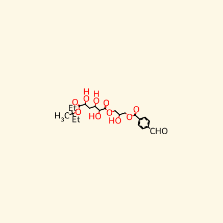 CCC(C)(CC)OC(=O)C(O)CC(O)C(O)C(=O)OCC(O)COC(=O)c1ccc(C=O)cc1